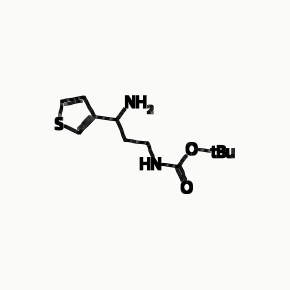 CC(C)(C)OC(=O)NCCC(N)c1ccsc1